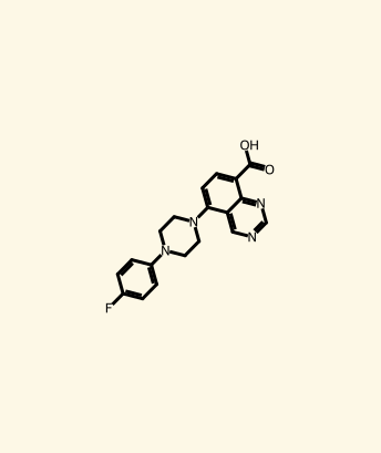 O=C(O)c1ccc(N2CCN(c3ccc(F)cc3)CC2)c2cncnc12